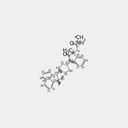 CNC(=O)C[C@@]1(C)C(=O)N(C2CCN(C3c4cccc5cccc(c45)C3(F)F)CC2)c2ccccc21